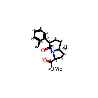 COC(=O)C1CC[C@@H]2CCC(c3ccccc3C)C(=O)N12